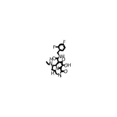 CCN[C@H]1C[C@@H]2CN(C)C(=O)c3c(O)c(=O)c(C(=O)NCc4ccc(F)cc4F)c1n32